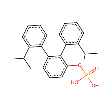 CC(C)c1ccccc1-c1cccc(OP(=O)(O)O)c1-c1ccccc1C(C)C